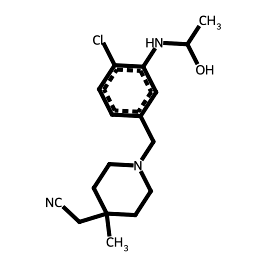 CC(O)Nc1cc(CN2CCC(C)(CC#N)CC2)ccc1Cl